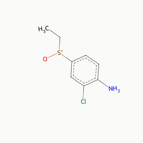 CC[S+]([O-])c1ccc(N)c(Cl)c1